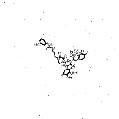 O=C(NCCCN1CCN(C(=O)NC(C(=O)N[C@H]2Cc3ccc(F)c(C(=O)O)c3OB2O)c2cc(F)c(O)c(O)c2Cl)C(=O)C1=O)Nc1cccc(O)c1